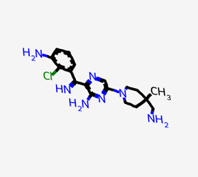 CC1(CN)CCN(c2cnc(C(=N)c3cccc(N)c3Cl)c(N)n2)CC1